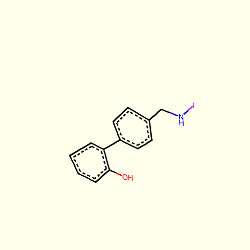 Oc1ccccc1-c1ccc(CNI)cc1